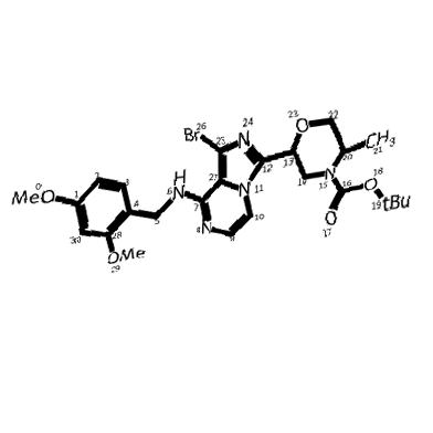 COc1ccc(CNc2nccn3c(C4CN(C(=O)OC(C)(C)C)C(C)CO4)nc(Br)c23)c(OC)c1